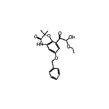 CCOC(O)C(=O)c1cc(OCc2ccccc2)cc2c1OC(C)(C)C(=O)N2